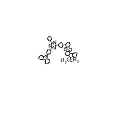 CC1(C)c2ccccc2-c2c1ccc1c2Oc2cccc(-c3ccc(-c4nc(-c5ccccc5)nc(-c5ccc(-n6c7ccccc7c7ccccc76)cc5)n4)cc3)c2O1